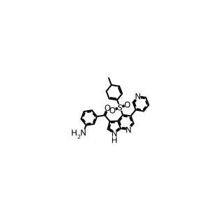 CC1C=CC(S(=O)(=O)c2c(-c3cccnc3)cnc3[nH]cc(C(=O)c4cccc(N)c4)c23)=CC1